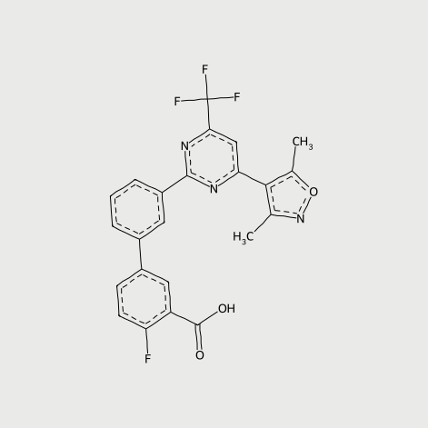 Cc1noc(C)c1-c1cc(C(F)(F)F)nc(-c2cccc(-c3ccc(F)c(C(=O)O)c3)c2)n1